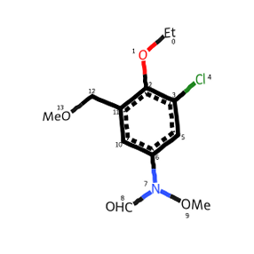 CCOc1c(Cl)cc(N(C=O)OC)cc1COC